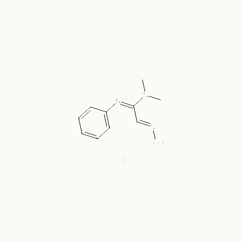 CN(C)C(/C=N/O)=N/c1ccccc1.Cl